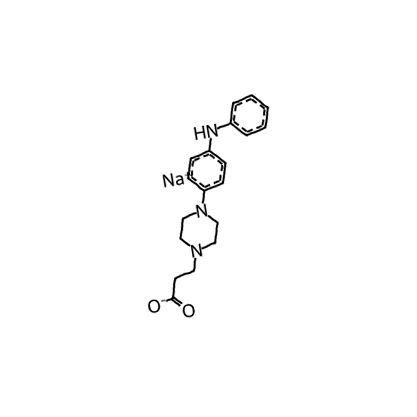 O=C([O-])CCN1CCN(c2ccc(Nc3ccccc3)cc2)CC1.[Na+]